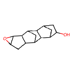 OC1CC2CC1C1C3CC(C4C3CC3OC34)C21